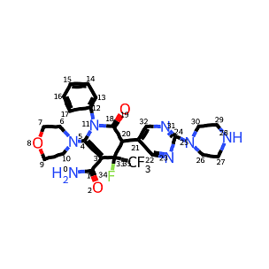 NC(=O)C1=C(N2CCOCC2)N(c2ccccc2)C(=O)C(c2cnc(N3CCNCC3)nc2)C1(F)C(F)(F)F